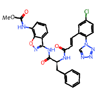 COC(=O)Nc1cccc2c(NC(=O)[C@H](Cc3ccccc3)NC(=O)C=Cc3cc(Cl)ccc3-n3cnnn3)noc12